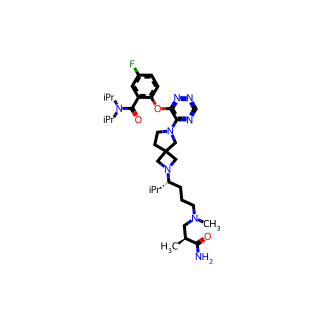 CC(C)[C@@H](CCCN(C)C[C@H](C)C(N)=O)N1CC2(CCN(c3ncnnc3Oc3ccc(F)cc3C(=O)N(C(C)C)C(C)C)C2)C1